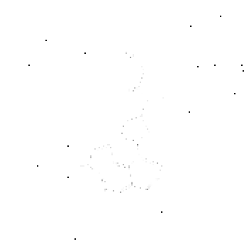 CN(C(=O)CC#N)C1CCN(c2nccc3cnc4[nH]ccc4c23)C1